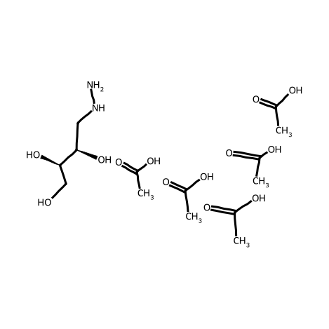 CC(=O)O.CC(=O)O.CC(=O)O.CC(=O)O.CC(=O)O.NNC[C@@H](O)[C@H](O)CO